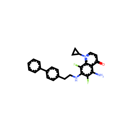 Nc1c(F)c(NCCc2ccc(-c3ccccc3)cc2)c(F)c2c1c(=O)ccn2C1CC1